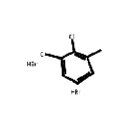 Br.Br.Cc1cccc(Cl)c1Cl